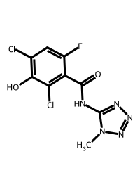 Cn1nnnc1NC(=O)c1c(F)cc(Cl)c(O)c1Cl